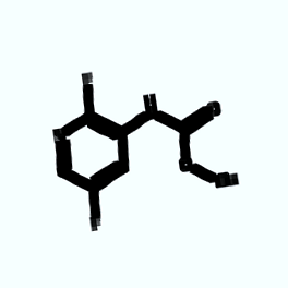 CC(C)(C)OC(=O)Nc1cc(F)cnc1F